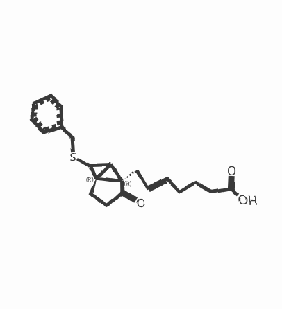 O=C(O)CCCC=CC[C@]12C(=O)CC[C@]13C(SCc1ccccc1)C32